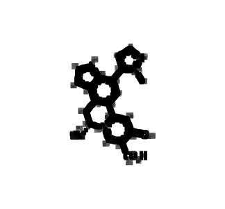 Cn1nccc1-c1cc2c(c3ccsc13)C[C@@H](C(C)(C)C)n1cc(C(=O)O)c(=O)cc1-2